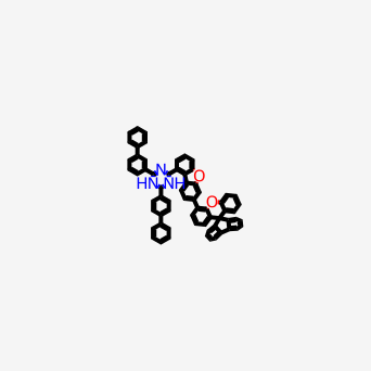 c1ccc(-c2ccc(C3NC(c4cccc(-c5ccccc5)c4)=NC(c4cccc5oc6cc(-c7cccc8c7Oc7ccccc7C87c8ccccc8-c8ccccc87)ccc6c45)N3)cc2)cc1